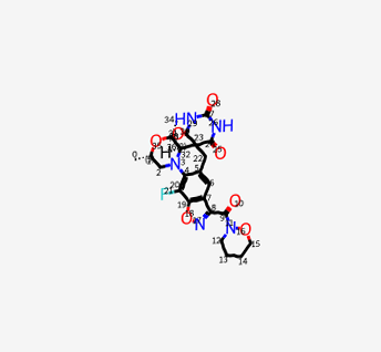 C[C@H]1CN2c3c(cc4c(C(=O)N5CCCCO5)noc4c3F)CC3(C(=O)NC(=O)NC3=O)[C@@H]2[C@@H](C)O1